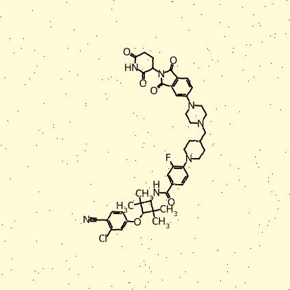 CC1(C)[C@H](NC(=O)c2ccc(N3CCC(CN4CCN(c5ccc6c(c5)C(=O)N(C5CCC(=O)NC5=O)C6=O)CC4)CC3)c(F)c2)C(C)(C)[C@H]1Oc1ccc(C#N)c(Cl)c1